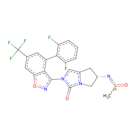 C/[SH](=O)=N\[C@H]1Cc2cn(-c3noc4cc(C(F)(F)F)cc(-c5c(F)cccc5F)c34)c(=O)n2C1